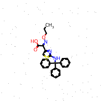 CCCON=C(C(=O)O)c1csc(NC(c2ccccc2)(c2ccccc2)c2ccccc2)n1